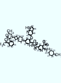 CC1CN(C2CC3(CCN(c4ccc(C(=O)NS(=O)(=O)c5cnc(NC[C@H]6CC[C@@H](C)CC6)c([N+](=O)[O-])c5)c(Oc5cnc6[nH]ccc6c5)c4)CC3)C2)[C@H](c2ccccc2C(C)C)CO1